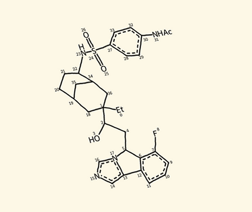 CCC1(C(O)CC2c3c(F)cccc3-c3cncn32)CC2CCC(NS(=O)(=O)c3ccc(NC(C)=O)cc3)C(C2)C1